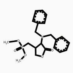 COP(=O)(CC1COC(=O)C1N(Cc1ccccc1)Cc1ccccc1)OC